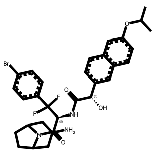 CC(C)Oc1ccc2cc([C@H](O)C(=O)N[C@@H](C(=O)N3C4CCC3CC(N)C4)C(F)(F)c3ccc(Br)cc3)ccc2c1